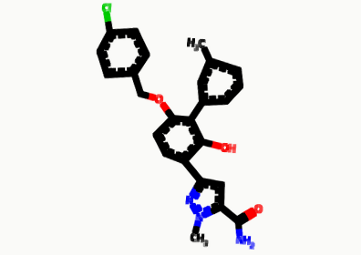 Cc1cccc(-c2c(OCc3ccc(Cl)cc3)ccc(-c3cc(C(N)=O)n(C)n3)c2O)c1